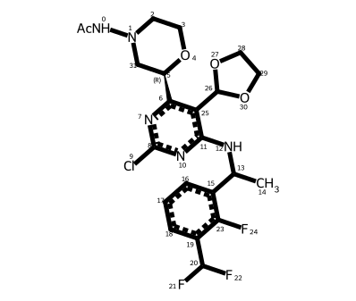 CC(=O)NN1CCO[C@@H](c2nc(Cl)nc(NC(C)c3cccc(C(F)F)c3F)c2C2OCCO2)C1